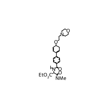 CCOC(=O)[C@H](C(=O)NC)N(I)C(=O)c1ccc(C2=CCC(OCCN3CCOCC3)C=C2)cc1